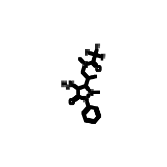 CC(CN(C)C(=O)C(F)(F)F)C1C(N)C(=O)N(c2ccccc2)N1C